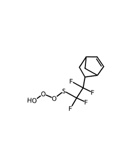 OOOSC(F)(F)C(F)(F)C1CC2C=CC1C2